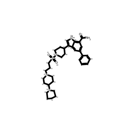 NC(=O)c1cc(-c2ccccc2)cc2c(C3CCN(S(=O)(=O)CCCN4CCC(N5CCCCC5)CC4)CC3)c[nH]c12